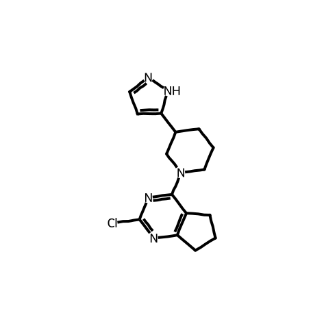 Clc1nc2c(c(N3CCCC(c4ccn[nH]4)C3)n1)CCC2